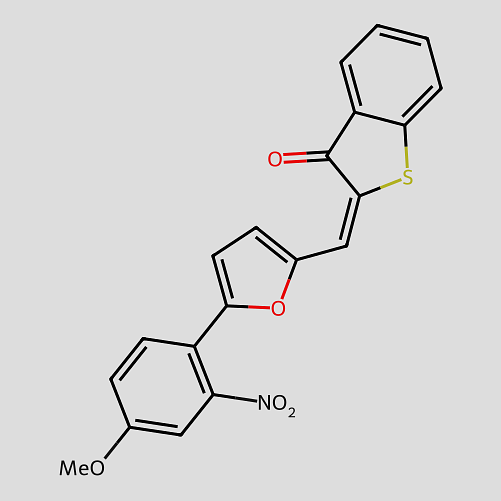 COc1ccc(-c2ccc(C=C3Sc4ccccc4C3=O)o2)c([N+](=O)[O-])c1